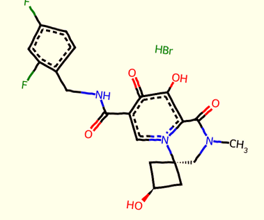 Br.CN1C[C@]2(C[C@H](O)C2)n2cc(C(=O)NCc3ccc(F)cc3F)c(=O)c(O)c2C1=O